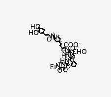 CCN1CCN(C(=O)N[C@@H](C(=O)N[C@]2(NC=O)C(=O)N3C(C(=O)[O-])=C(CSc4cc[n+](N(C)C(=O)C=Cc5ccc(O)c(O)c5)cc4)CS[C@@H]32)c2ccccc2)C(=O)C1=O